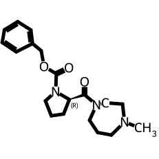 CN1CCCN(C(=O)[C@H]2CCCN2C(=O)OCc2ccccc2)CC1